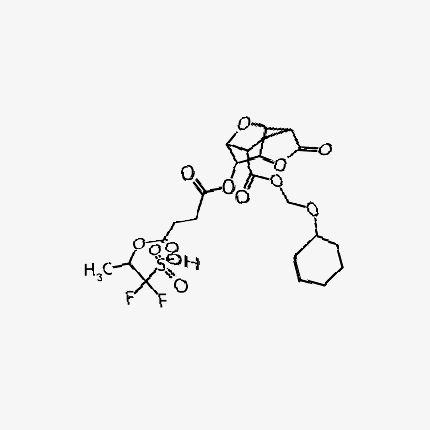 CC(OC(=O)CCC(=O)OC1C2OC(=O)C3C2OC1C3C(=O)OCOC1CCCCC1)C(F)(F)S(=O)(=O)O